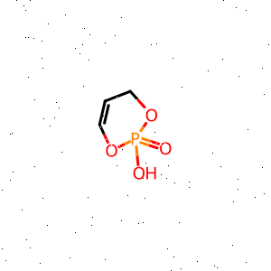 O=P1(O)OC=CCO1